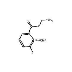 COc1c(I)cccc1C(=O)OC[SiH3]